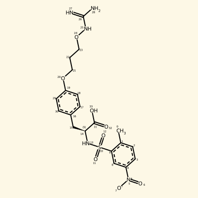 Cc1ccc([N+](=O)[O-])cc1S(=O)(=O)N[C@@H](Cc1ccc(OCCCONC(=N)N)cc1)C(=O)O